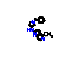 Cc1nccc2nc(NC3CCN(Cc4ccccc4)C3)ccc12